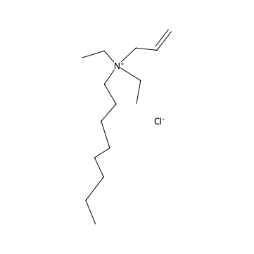 C=CC[N+](CC)(CC)CCCCCCCC.[Cl-]